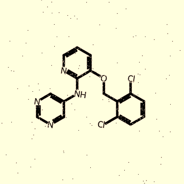 Clc1cccc(Cl)c1COc1cccnc1Nc1cncnc1